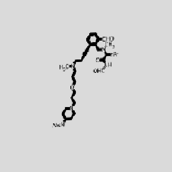 CCCC(C(=O)NC=O)N(C)Cc1c(C#CCCN(C)CCCOCCCN2CCC(NC)CC2)cccc1C=O